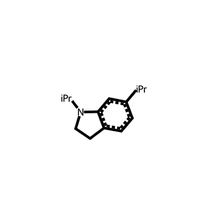 CC(C)c1ccc2c(c1)N(C(C)C)CC2